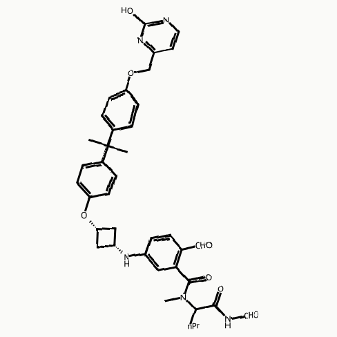 CCCC(C(=O)NC=O)N(C)C(=O)c1cc(N[C@H]2C[C@@H](Oc3ccc(C(C)(C)c4ccc(OCc5ccnc(O)n5)cc4)cc3)C2)ccc1C=O